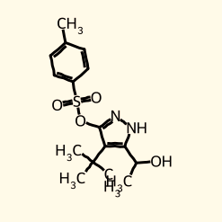 Cc1ccc(S(=O)(=O)Oc2n[nH]c(C(C)O)c2C(C)(C)C)cc1